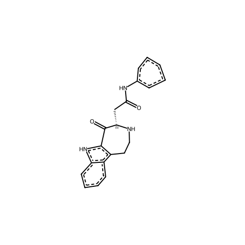 O=C(C[C@@H]1NCCc2c([nH]c3ccccc23)C1=O)Nc1ccccc1